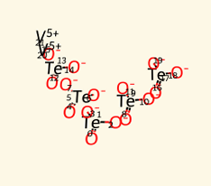 O=[Te]([O-])[O-].O=[Te]([O-])[O-].O=[Te]([O-])[O-].O=[Te]([O-])[O-].O=[Te]([O-])[O-].[V+5].[V+5]